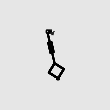 [CH2]C#CC1COC1